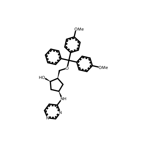 COc1ccc(C(OC[C@H]2C[C@@H](Nc3ccncn3)C[C@H]2O)(c2ccccc2)c2ccc(OC)cc2)cc1